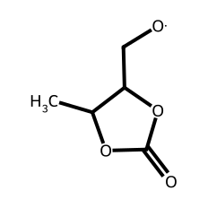 CC1OC(=O)OC1C[O]